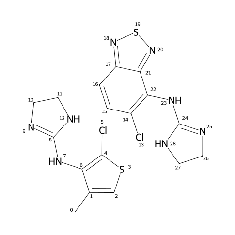 Cc1csc(Cl)c1NC1=NCCN1.Clc1ccc2nsnc2c1NC1=NCCN1